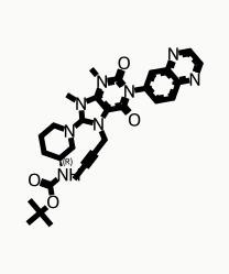 CC#CCN1c2c(n(C)c(=O)n(-c3ccc4nccnc4c3)c2=O)N(C)C1N1CCC[C@@H](NC(=O)OC(C)(C)C)C1